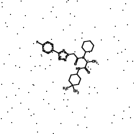 CC(C(=O)NC1CCC(C)(C)CC1)N(C(=O)Cn1nnc(-c2ccc(F)cc2)n1)C1CCCCC1